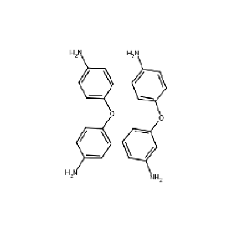 Nc1ccc(Oc2ccc(N)cc2)cc1.Nc1ccc(Oc2cccc(N)c2)cc1